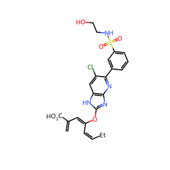 C=C(/C=C(\C=C/CC)Oc1nc2nc(-c3cccc(S(=O)(=O)NCCO)c3)c(Cl)cc2[nH]1)C(=O)O